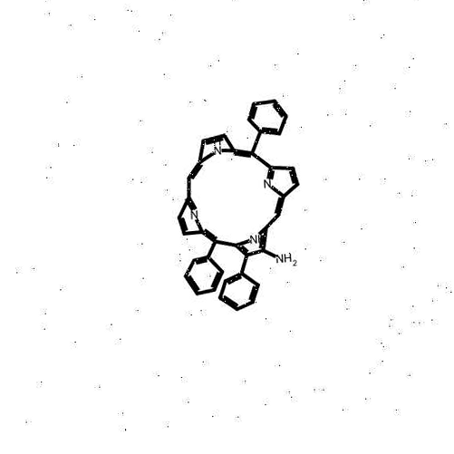 Nc1c(-c2ccccc2)c2[nH]c1cc1nc(c(-c3ccccc3)c3ccc(cc4nc(c2-c2ccccc2)C=C4)[nH]3)C=C1